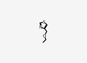 CCOCc1cscn1